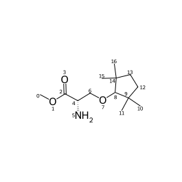 COC(=O)[C@@H](N)COC1C(C)(C)CCC1(C)C